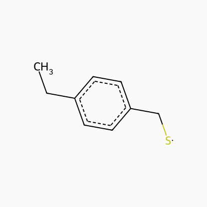 CCc1ccc(C[S])cc1